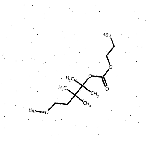 CC(C)(C)CCOC(=O)OC(C)(C)C(C)(C)CCOC(C)(C)C